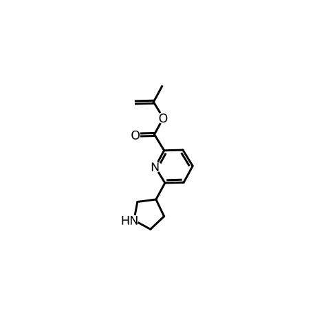 C=C(C)OC(=O)c1cccc(C2CCNC2)n1